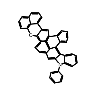 c1ccc(-n2c3ccccc3c3c(-c4ccccc4-c4ccc5c(c4)-c4cccc6cccc(c46)O5)c4ccccc4cc32)cc1